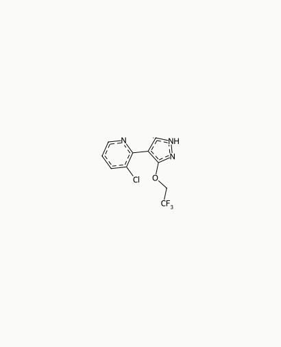 FC(F)(F)COc1n[nH][c]c1-c1ncccc1Cl